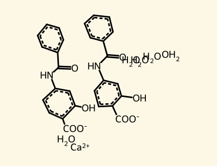 O.O.O.O.O.O=C(Nc1ccc(C(=O)[O-])c(O)c1)c1ccccc1.O=C(Nc1ccc(C(=O)[O-])c(O)c1)c1ccccc1.[Ca+2]